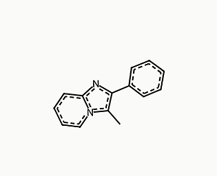 Cc1c(-c2ccccc2)nc2ccccn12